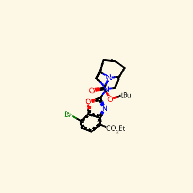 CCOC(=O)c1ccc(Br)c2oc(N3CC4CCCC(C3)N4C(=O)OC(C)(C)C)nc12